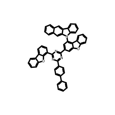 c1ccc(-c2ccc(-c3nc(-c4cc(-n5c6ccccc6c6cc7ccccc7cc65)c5c(c4)oc4ccccc45)nc(-c4cccc5c4oc4ccccc45)n3)cc2)cc1